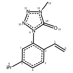 C=Cc1ccc(C(C)C)cc1-n1nnn(C)c1=O